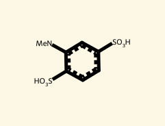 CNc1cc(S(=O)(=O)O)ccc1S(=O)(=O)O